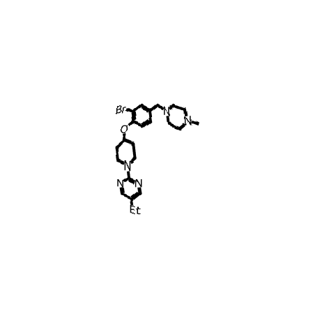 CCc1cnc(N2CCC(Oc3ccc(CN4CCN(C)CC4)cc3Br)CC2)nc1